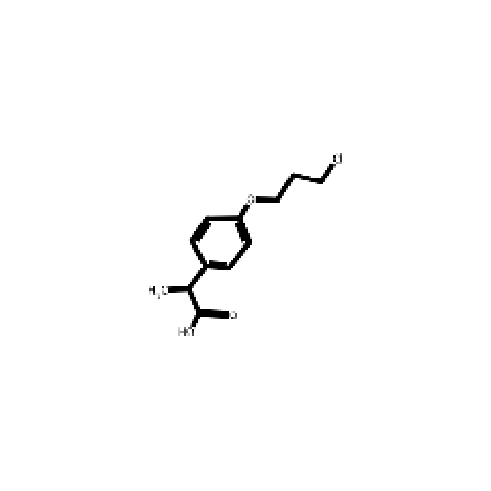 CC(C(=O)O)c1ccc(OCCCCl)cc1